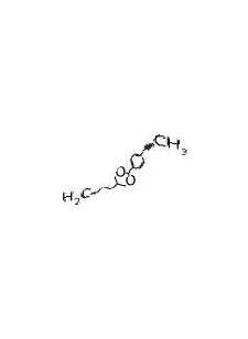 C=CCCC1COC(c2ccc(C#CC)cc2)OC1